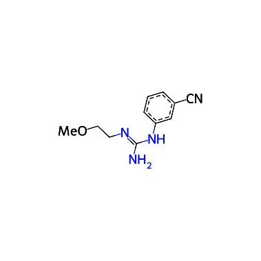 COCCN=C(N)Nc1cccc(C#N)c1